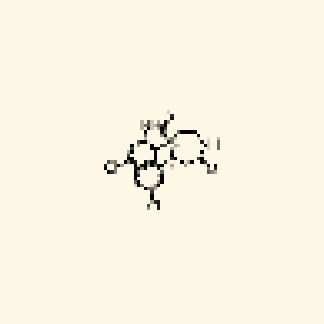 Nc1cc(Cl)ccc1[C@@]1(C=O)CCNC(=O)C[C@H]1c1cccc(Cl)c1